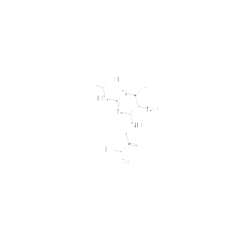 CC[C@H](O)C(=O)CNc1nc(NC(C)O)[nH]c(=O)c1[N+](=O)[O-]